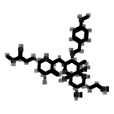 C=C1C(C[C@@H]2O[C@H]3C[C@@H](O)[C@@H](CCO)O[C@H]3[C@H](C)[C@H]2OCc2ccc(OC)cc2)O[C@@H](CCC(=O)OC)C[C@H]1C